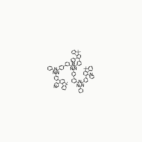 CC1(C)c2ccccc2-c2c1ccc(-c1cccc(-c3nc(-c4ccccc4)nc(-c4ccc(-c5cccc(-c6nc(-c7ccc(-c8cccc(-c9nc(-c%10ccccc%10)nc(-c%10cccc(-c%11ccc%12c(c%11-c%11ccccn%11)-c%11ccccc%11C%12(C)C)c%10)n9)c8)cc7)nc(-c7cccc(-c8ccc9c(c8-c8cccnc8)-c8ccccc8C9(C)C)c7)n6)c5)cc4)n3)c1)c2-c1ccncc1